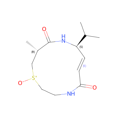 CC(C)[C@H]1/C=C/C(=O)NCC[S+]([O-])C[C@H](C)C(=O)N1